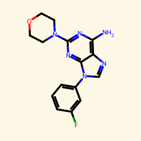 Nc1nc(N2CCOCC2)nc2c1ncn2-c1cccc(F)c1